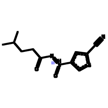 CC(C)CCC(=O)/N=[SH](=O)/c1csc(C#N)c1